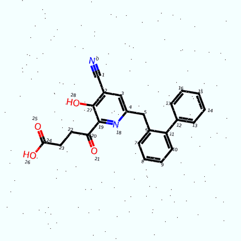 N#Cc1cc(Cc2ccccc2-c2ccccc2)nc(C(=O)CCC(=O)O)c1O